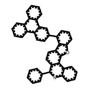 c1ccc(-c2nc3ccccc3c3c2ccc2c3oc3cccc(-c4ccc5c6ccccc6c6ccccc6c5c4)c32)cc1